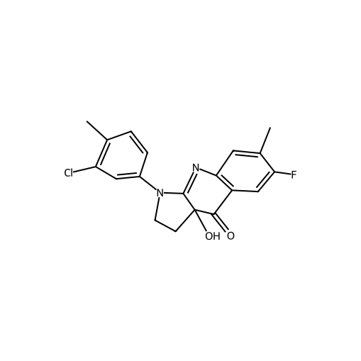 Cc1cc2c(cc1F)C(=O)C1(O)CCN(c3ccc(C)c(Cl)c3)C1=N2